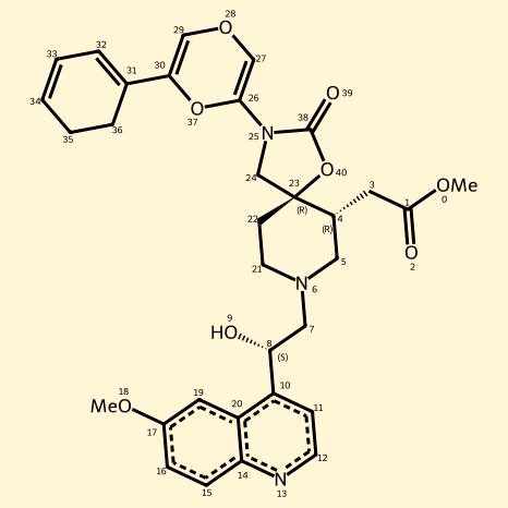 COC(=O)C[C@@H]1CN(C[C@@H](O)c2ccnc3ccc(OC)cc23)CC[C@]12CN(C1=COC=C(C3=CC=CCC3)O1)C(=O)O2